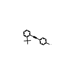 [CH2]c1ccc(C#Cc2ccccc2C(C)(C)C)cc1